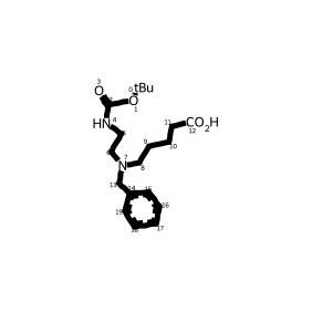 CC(C)(C)OC(=O)NCCN(CCCCC(=O)O)Cc1ccccc1